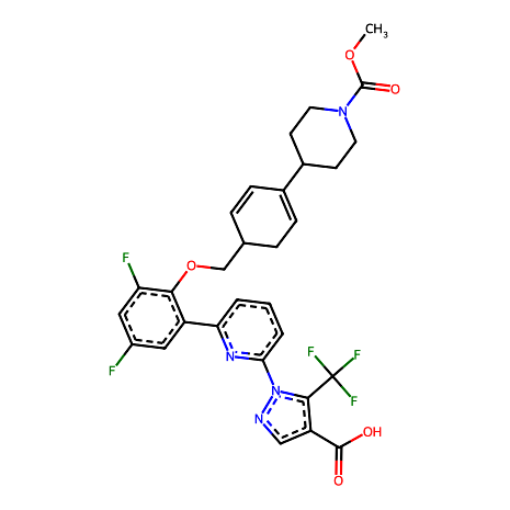 COC(=O)N1CCC(C2=CCC(COc3c(F)cc(F)cc3-c3cccc(-n4ncc(C(=O)O)c4C(F)(F)F)n3)C=C2)CC1